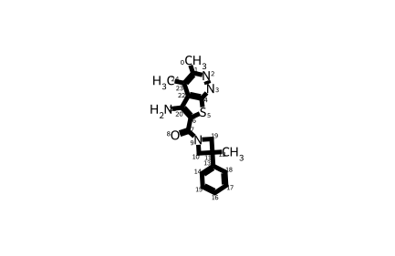 Cc1nnc2sc(C(=O)N3CC(C)(c4ccccc4)C3)c(N)c2c1C